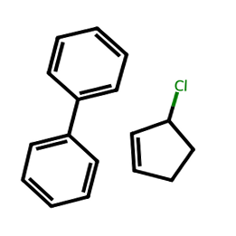 ClC1C=CCC1.c1ccc(-c2ccccc2)cc1